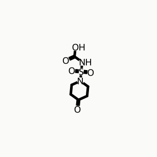 O=C1CCN(S(=O)(=O)NC(=O)O)CC1